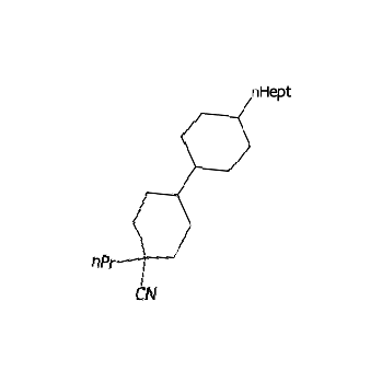 CCCCCCCC1CCC(C2CCC(C#N)(CCC)CC2)CC1